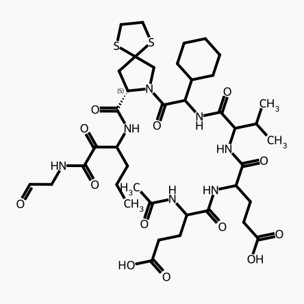 CCCC(NC(=O)[C@@H]1CC2(CN1C(=O)C(NC(=O)C(NC(=O)C(CCC(=O)O)NC(=O)C(CCC(=O)O)NC(C)=O)C(C)C)C1CCCCC1)SCCS2)C(=O)C(=O)NCC=O